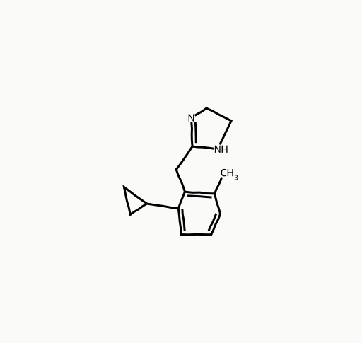 Cc1cccc(C2CC2)c1CC1=NCCN1